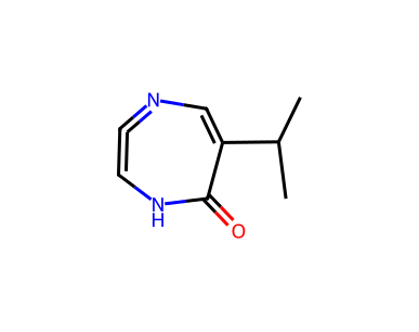 CC(C)C1=CN=C=CNC1=O